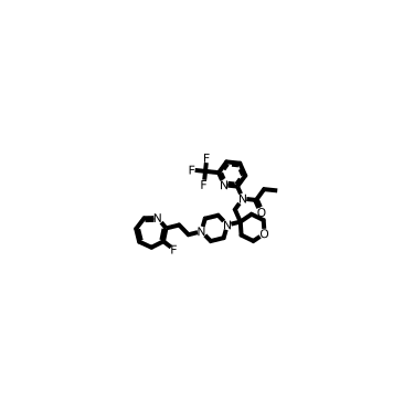 CCC(=O)N(CC1(N2CCN(CCC3=C(F)CC=CC=N3)CC2)CCOCC1)c1cccc(C(F)(F)F)n1